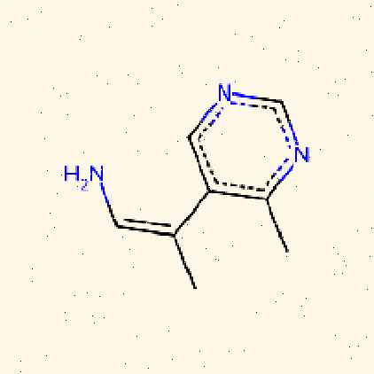 C/C(=C/N)c1cncnc1C